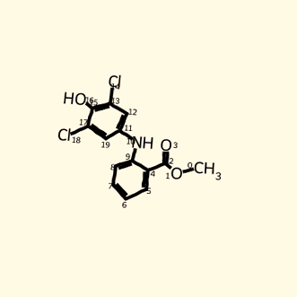 COC(=O)c1ccccc1Nc1cc(Cl)c(O)c(Cl)c1